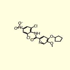 COc1cnc(C(=O)Nc2c(Cl)cc([N+](=O)[O-])cc2Cl)cc1OC1CCCC1